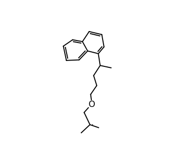 C[C](C)COCCCC(C)c1cccc2ccccc12